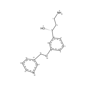 NCC[C@@H](O)c1cccc(OCc2cccnc2)c1